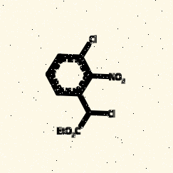 CCOC(=O)C(Cl)c1cccc(Cl)c1[N+](=O)[O-]